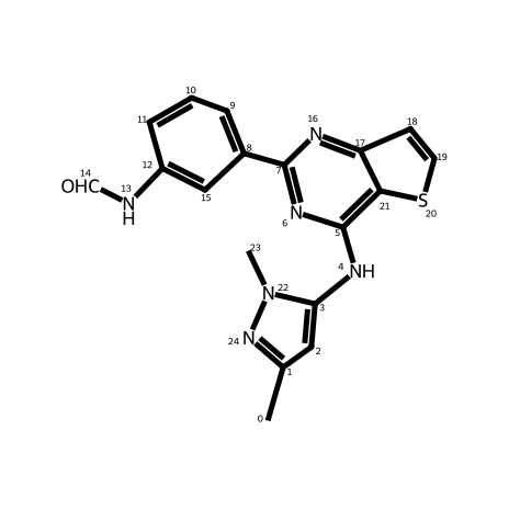 Cc1cc(Nc2nc(-c3cccc(NC=O)c3)nc3ccsc23)n(C)n1